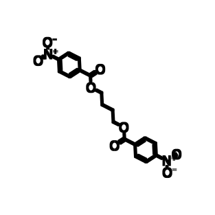 O=C(OCCCCOC(=O)c1ccc([N+](=O)[O-])cc1)c1ccc([N+](=O)[O-])cc1